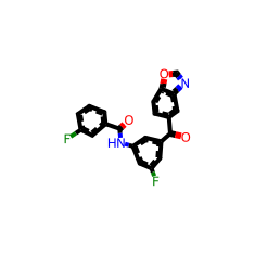 O=C(Nc1cc(F)cc(C(=O)c2ccc3ocnc3c2)c1)c1cccc(F)c1